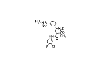 CN1C(C(=O)Nc2ccc(F)c(Cl)c2)CC(c2cccc(-c3cnn(C)c3)c2)NS1(=O)=O